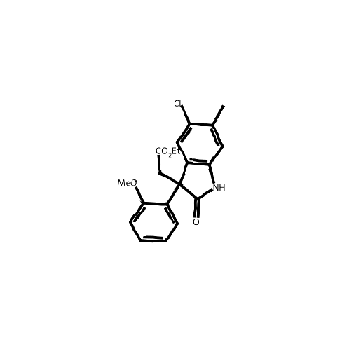 CCOC(=O)CC1(c2ccccc2OC)C(=O)Nc2cc(C)c(Cl)cc21